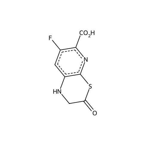 O=C1CNc2cc(F)c(C(=O)O)nc2S1